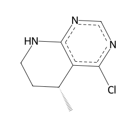 C[C@@H]1CCNc2ncnc(Cl)c21